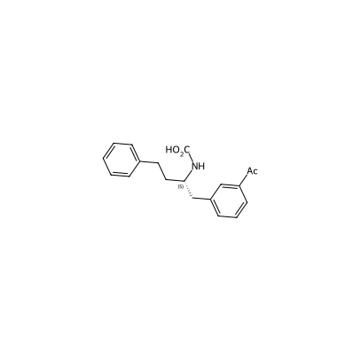 CC(=O)c1cccc(C[C@H](CCc2ccccc2)NC(=O)O)c1